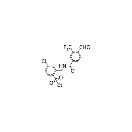 CCS(=O)(=O)c1ccc(Cl)cc1CNC(=O)c1ccc(C=O)c(C(F)(F)F)c1